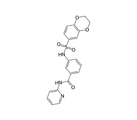 O=C(Nc1ccccn1)c1cccc(NS(=O)(=O)c2ccc3c(c2)OCCO3)c1